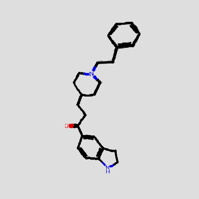 O=C(CCC1CCN(CCc2ccccc2)CC1)c1ccc2c(c1)CCN2